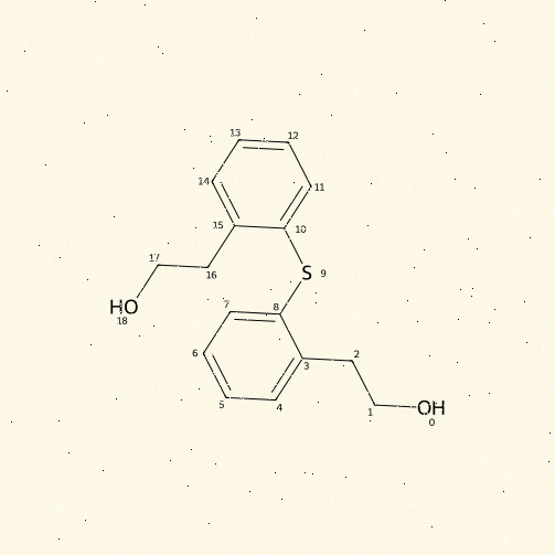 OCCc1ccccc1Sc1ccccc1CCO